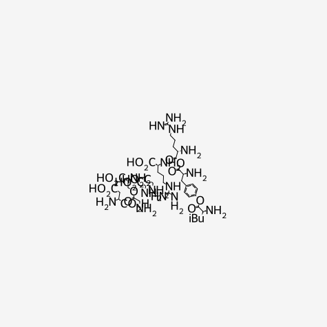 CC[C@H](C)[C@H](N)C(=O)Oc1ccc(C[C@H](N)C(=O)OC(=O)[C@@H](N)CCCNC(=N)N)cc1.N=C(N)NCCC[C@H](N)C(=O)O.NCC(=O)O.NCC(=O)O.NCC(=O)OC[C@H](N)C(=O)O.N[C@@H](CC(=O)O)C(=O)O